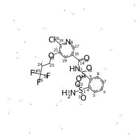 NS(=O)(=O)c1ccccc1S(=O)(=O)NC(=O)c1cnc(Cl)c(OCCC(F)(F)F)c1